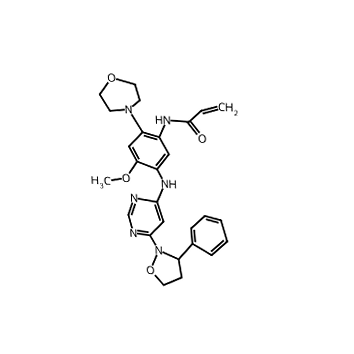 C=CC(=O)Nc1cc(Nc2cc(N3OCCC3c3ccccc3)ncn2)c(OC)cc1N1CCOCC1